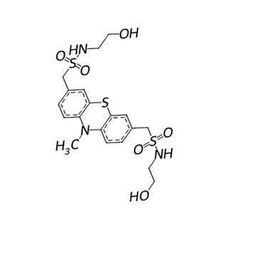 CN1c2ccc(CS(=O)(=O)NCCO)cc2Sc2cc(CS(=O)(=O)NCCO)ccc21